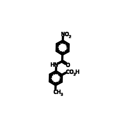 Cc1ccc(NC(=O)c2ccc([N+](=O)[O-])cc2)c(C(=O)O)c1